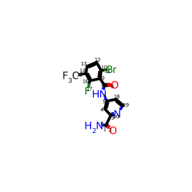 NC(=O)c1cc(NC(=O)c2c(Br)ccc(C(F)(F)F)c2F)ccn1